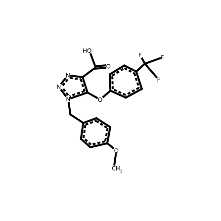 COc1ccc(Cn2nnc(C(=O)O)c2Oc2ccc(C(F)(F)F)cc2)cc1